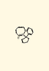 C1=CN[SH](C2(c3ccccc3)CCCC2)NC=C1